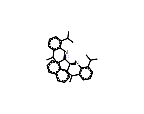 CC(C)c1cccc(C(C)C)c1N=C1/C(=N/c2c(C(C)C)cccc2C(C)C)c2cccc3cccc1c23